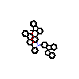 CC1(C)c2ccccc2-c2cccc(-c3cccc(N(c4ccc5c(c4)C4(CCc6ccccc64)c4ccccc4-5)c4ccccc4-c4ccc5c(ccc6ccccc65)c4)c3)c21